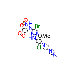 COc1cc(N2CCC(N3CCN(C)CC3)CC2)c(Cl)cc1Nc1ncc(Br)c(Nc2cc3c(cc2N(C)S(C)(=O)=O)OCO3)n1